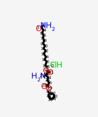 Cl.NC(=O)CCCCCCCCCCCCCCCOC(=O)[C@H](N)CCCC(=O)OCc1ccccc1